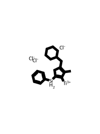 CC1=C(CC2CCCCC2)CC([SiH2]c2ccccc2)=[C]1[Ti+3].[Cl-].[Cl-].[Cl-]